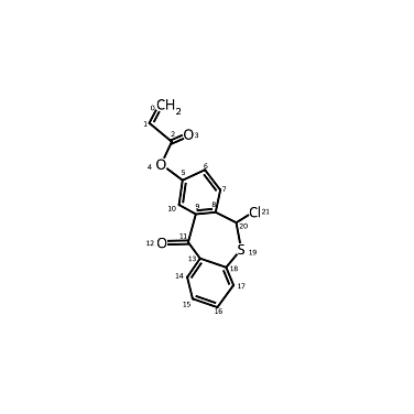 C=CC(=O)Oc1ccc2c(c1)C(=O)c1ccccc1SC2Cl